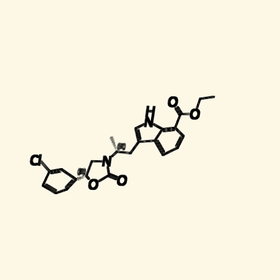 CCOC(=O)c1cccc2c(C[C@@H](C)N3C[C@@H](c4cccc(Cl)c4)OC3=O)c[nH]c12